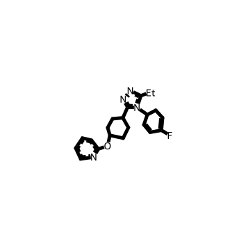 CCc1nnc(C2CCC(Oc3ccccn3)CC2)n1C1C=CC(F)=CC1